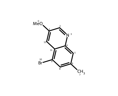 COc1cnc2cc(C)cc(Br)c2c1